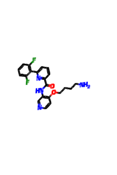 NCCCCOc1ccncc1NC(=O)c1cccc(-c2c(F)cccc2F)n1